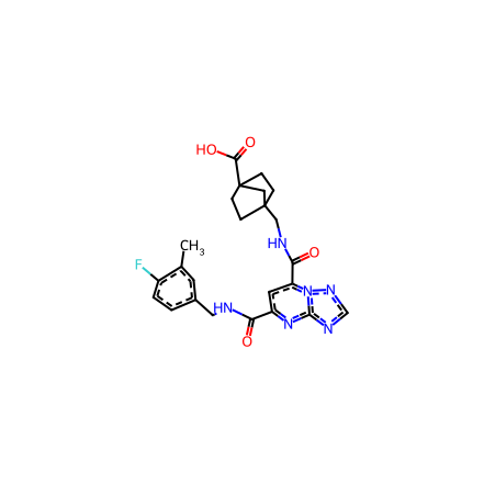 Cc1cc(CNC(=O)c2cc(C(=O)NCC34CCC(C(=O)O)(CC3)C4)n3ncnc3n2)ccc1F